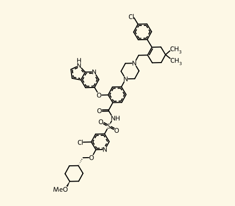 CO[C@H]1CC[C@H](COc2ncc(S(=O)(=O)NC(=O)c3ccc(N4CCN(CC5=C(c6ccc(Cl)cc6)CC(C)(C)CC5)CC4)cc3Oc3cnc4[nH]ccc4c3)cc2Cl)CC1